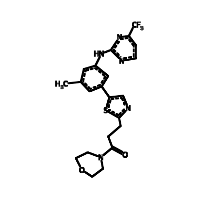 Cc1cc(Nc2nccc(C(F)(F)F)n2)cc(-c2cnc(CCC(=O)N3CCOCC3)s2)c1